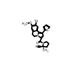 [2H]c1cc2c(cc1OC)CCn1c(C(=O)N3CCC[C@]3(C)C#N)cc(-c3cccs3)c1-2